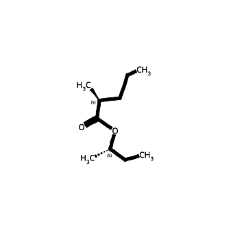 C[CH][C@H](C)OC(=O)[C@@H](C)CCC